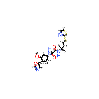 COc1cc(NC(=O)C(=O)NC(C)(C)CCSc2nccs2)ccc1-c1cnco1